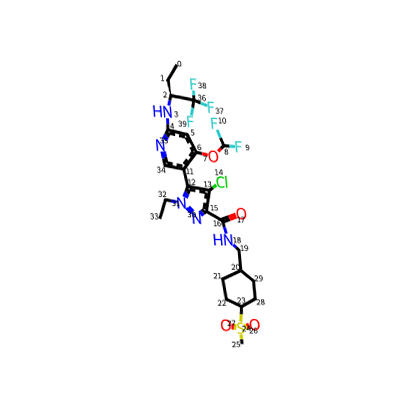 CC[C@H](Nc1cc(OC(F)F)c(-c2c(Cl)c(C(=O)NCC3CCC(S(C)(=O)=O)CC3)nn2CC)cn1)C(F)(F)F